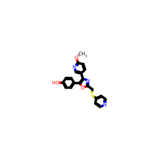 COc1ccc(-c2nc(CSc3ccncc3)oc2-c2ccc(O)cc2)cn1